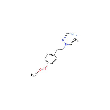 C=CN(CCc1ccc(OOC)cc1)/N=C\N